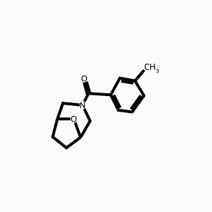 Cc1cccc(C(=O)N2CC3CCC(C2)O3)c1